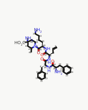 C=CC[C@@H](NC(=O)[C@@H](Cc1ccccc1)NC(=O)[C@H](N)Cc1ccccc1)C(=O)N[C@H](CCCCN)C(=O)N1CCC(N)(C(=O)O)CC1C